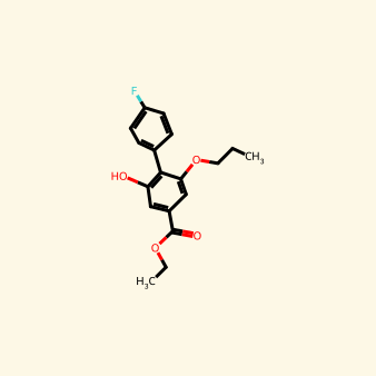 CCCOc1cc(C(=O)OCC)cc(O)c1-c1ccc(F)cc1